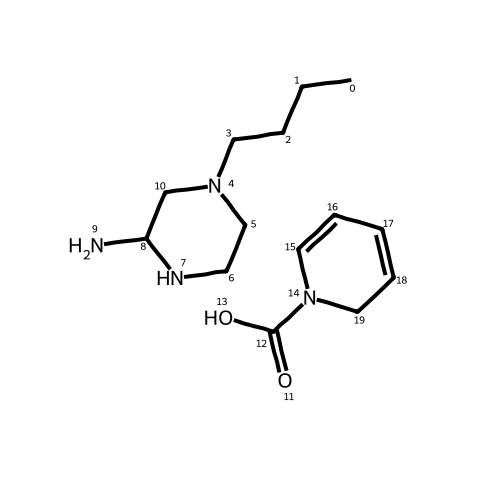 CCCCN1CCNC(N)C1.O=C(O)N1C=CC=CC1